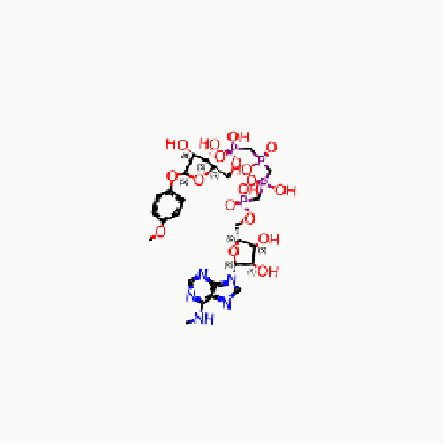 CNc1ncnc2c1ncn2[C@@H]1O[C@H](COP(=O)(O)CP(=O)(O)CP(=O)(O)CP(=O)(O)OC[C@H]2O[C@@H](Oc3ccc(OC)cc3)[C@H](O)[C@@H]2O)[C@@H](O)[C@H]1O